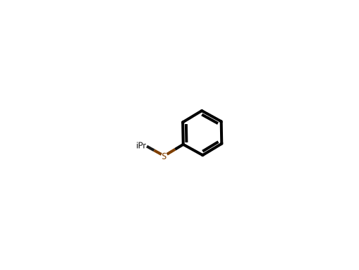 [CH2]C([CH2])Sc1ccccc1